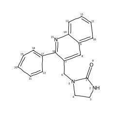 O=C1NCCN1Cc1cc2ccccc2nc1-c1ccccc1